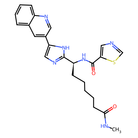 CNC(=O)CCCCC[C@H](NC(=O)c1cncs1)c1ncc(-c2cnc3ccccc3c2)[nH]1